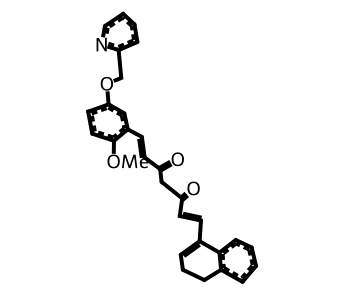 COc1ccc(OCc2ccccn2)cc1/C=C/C(=O)CC(=O)/C=C/C1=CCCc2ccccc21